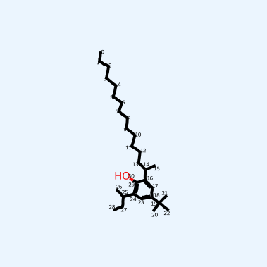 CCCCCCCCCCCCCCC(C)c1cc(C(C)(C)C)cc(C(C)CC)c1O